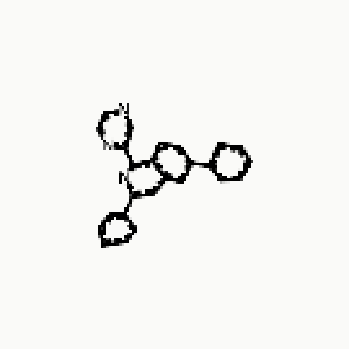 c1ccc(-c2ccc3c(-c4cnccn4)nc(-c4ccccc4)cc3c2)cc1